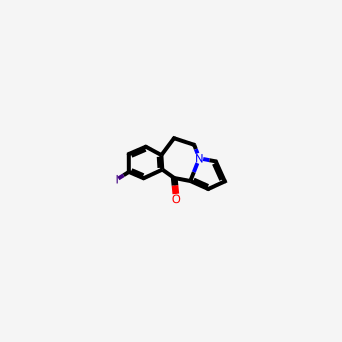 O=C1c2cc(I)ccc2CCn2cccc21